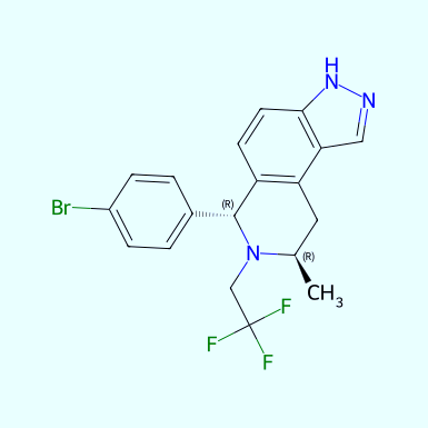 C[C@@H]1Cc2c(ccc3[nH]ncc23)[C@@H](c2ccc(Br)cc2)N1CC(F)(F)F